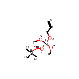 C=CCO[Si](OC)(OC)OO[Si](C)(C)C